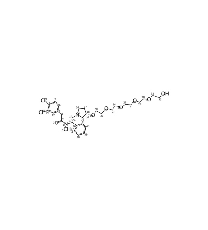 CN(C(=O)Cc1ccc(Cl)c(Cl)c1)[C@H](CN1CC[C@H](OCCOCCOCCOCCOCCO)C1)c1ccccc1